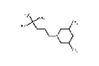 CC1CC(C)CN(CCCC(C)(C)C)C1